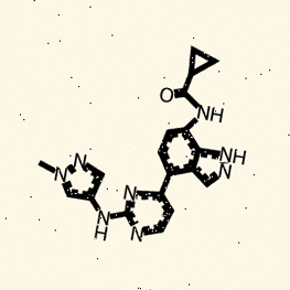 Cn1cc(Nc2nccc(-c3ccc(NC(=O)C4CC4)c4[nH]ncc34)n2)cn1